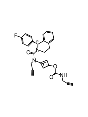 C#CCNC(=O)OC12CC(N(CC#C)C(=O)N3CCc4ccccc4[C@@H]3c3ccc(F)cc3)(C1)C2